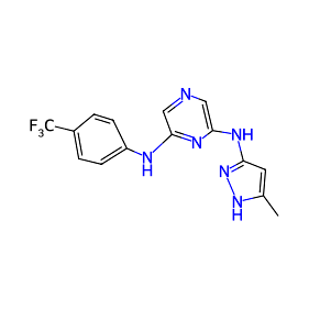 Cc1cc(Nc2cncc(Nc3ccc(C(F)(F)F)cc3)n2)n[nH]1